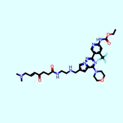 CCOC(=O)Nc1cc(C(F)(F)F)c(-c2nc(N3CCOCC3)c3cc(CNCCNC(=O)CCC(=O)/C=C/CN(C)C)cn3n2)cn1